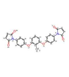 O=C1C=CC(=O)N1c1ccc(Oc2cccc(Oc3ccc(N4C(=O)C=CC4=O)cc3)c2C(F)(F)F)cc1